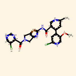 COc1cnc(Cl)cc1-c1cc(C)ncc1C(=O)Nc1nc2c(s1)CN(C(=O)c1ncncc1Cl)C2